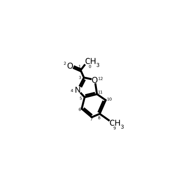 CC(=O)c1nc2ccc(C)cc2o1